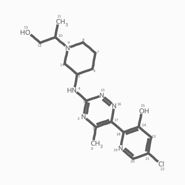 Cc1nc(NC2CCCN(C(C)CO)C2)nnc1-c1ncc(Cl)cc1O